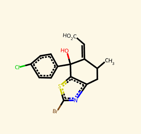 CC1Cc2nc(Br)sc2C(O)(c2ccc(Cl)cc2)C1=CC(=O)O